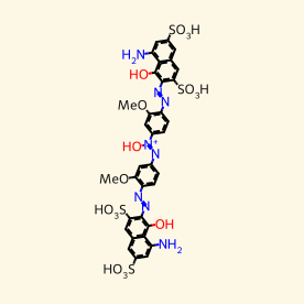 COc1cc(/N=[N+](\O)c2ccc(/N=N/c3c(S(=O)(=O)O)cc4cc(S(=O)(=O)O)cc(N)c4c3O)c(OC)c2)ccc1/N=N/c1c(S(=O)(=O)O)cc2cc(S(=O)(=O)O)cc(N)c2c1O